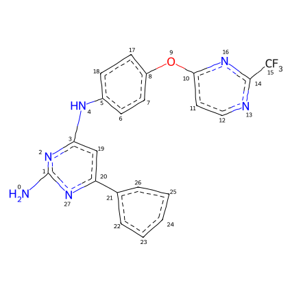 Nc1nc(Nc2ccc(Oc3ccnc(C(F)(F)F)n3)cc2)cc(-c2ccccc2)n1